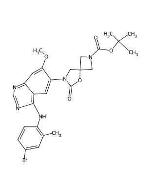 COc1cc2ncnc(Nc3ccc(Br)cc3C)c2cc1N1CC2(CN(C(=O)OC(C)(C)C)C2)OC1=O